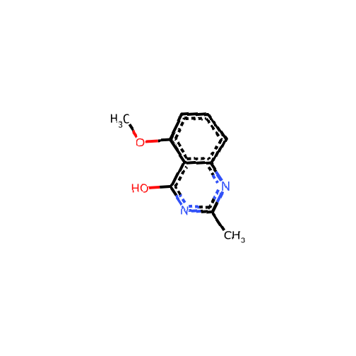 COc1cccc2nc(C)nc(O)c12